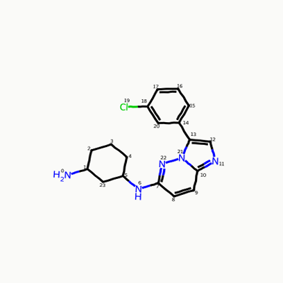 NC1CCCC(Nc2ccc3ncc(-c4cccc(Cl)c4)n3n2)C1